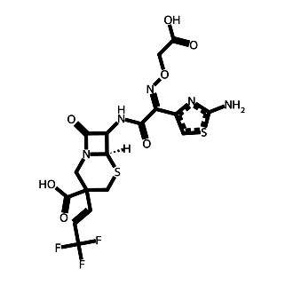 Nc1nc(C(=NOCC(=O)O)C(=O)NC2C(=O)N3CC(C=CC(F)(F)F)(C(=O)O)CS[C@H]23)cs1